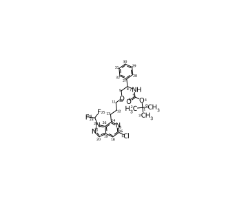 CC(C)(C)OC(=O)NC(COCCCc1nc(Cl)cc2cnn(C(F)F)c12)c1ccccc1